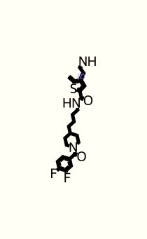 C=c1sc(C(=O)NCCCCC2CCN(C(=O)c3ccc(F)c(F)c3)CC2)c/c1=C/C=N